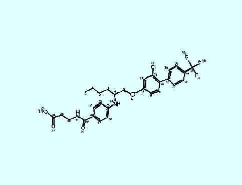 CCCCC(COc1ccc(-c2ccc(C(F)(F)F)cc2)c(Cl)c1)Nc1ccc(C(=O)NCCC(=O)O)cc1